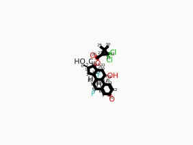 C[C@@H]1C[C@H]2[C@@H]3C[C@H](F)C4=CC(=O)C=C[C@]4(C)[C@@]3(F)[C@@H](O)C[C@]2(C)[C@@]1(OC(=O)C1C(C)(C)C1(Cl)Cl)C(=O)O